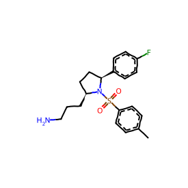 Cc1ccc(S(=O)(=O)N2[C@@H](CCCN)CC[C@H]2c2ccc(F)cc2)cc1